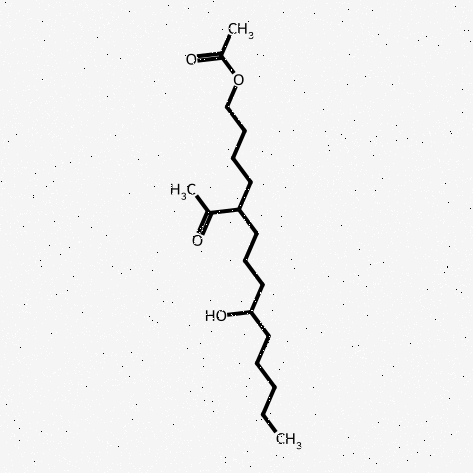 CCCCCC(O)CCCC(CCCCOC(C)=O)C(C)=O